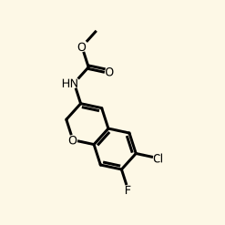 COC(=O)NC1=Cc2cc(Cl)c(F)cc2OC1